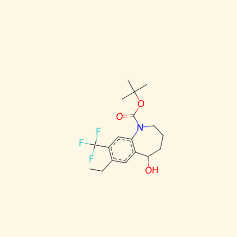 CCc1cc2c(cc1C(F)(F)F)N(C(=O)OC(C)(C)C)CCCC2O